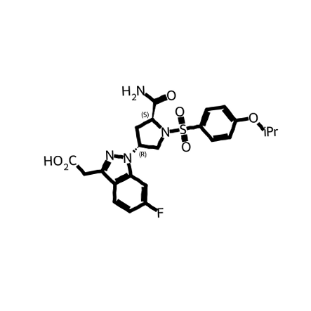 CC(C)Oc1ccc(S(=O)(=O)N2C[C@H](n3nc(CC(=O)O)c4ccc(F)cc43)C[C@H]2C(N)=O)cc1